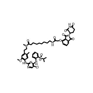 COc1cc(CCN(C)C(=O)CCCCCCCCNC(=O)COc2cccc3c2C(=O)N(C2CCC(=O)NC2=O)C3=O)c(C)cc1Nc1ncc(Cl)c(Nc2ccccc2S(=O)(=O)C(C)C)n1